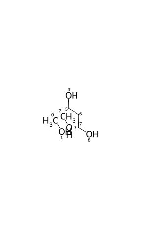 CO.CO.OCCCO